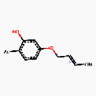 CCCC/C=C/COc1ccc(C(C)=O)c(O)c1